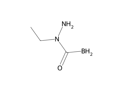 BC(=O)N(N)CC